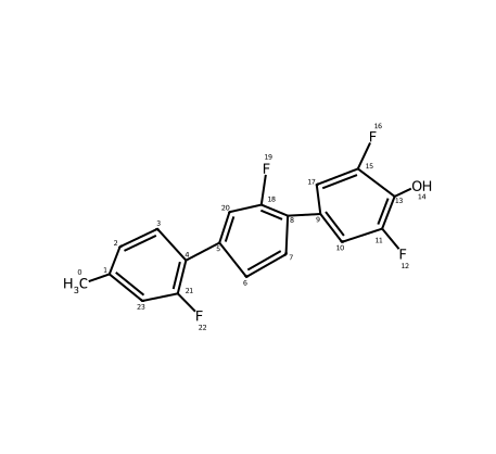 Cc1ccc(-c2ccc(-c3cc(F)c(O)c(F)c3)c(F)c2)c(F)c1